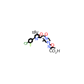 Cc1oc(N2CCN(C(=O)c3cc4nc(-c5ccc(Cl)c(F)c5)cc(C(C)(C)C)c4o3)C(C)(C)C2)nc1C(=O)O